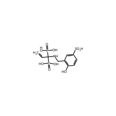 C=CC(NCc1cc(S(=O)(=O)O)ccc1O)(P(=O)(O)O)P(=O)(O)O